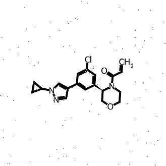 C=CC(=O)N1CCOC[C@H]1c1cc(Cl)cc(-c2cnn(C3CC3)c2)c1